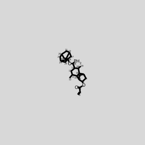 C=CC(=O)OC1CC2CC1C1C(C)CC(C(P)OC34CC5CC(CC(C5)C3)C4)C(C)C21